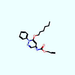 C=CCOC(=O)/N=c1/cnn(-c2ccccc2)c(OCCCCCC)c1